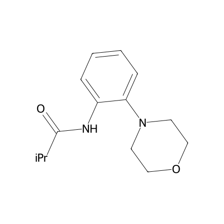 CC(C)C(=O)Nc1ccccc1N1CCOCC1